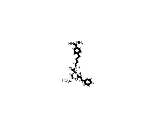 N=C(N)c1ccc(CCCCNC(=O)[C@H](CCC(=O)O)NC(=O)CCc2ccccc2)cc1